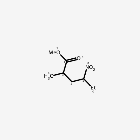 CCC(CC(C)C(=O)OC)[N+](=O)[O-]